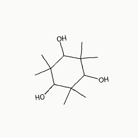 CC1(C)C(O)C(C)(C)C(O)C(C)(C)C1O